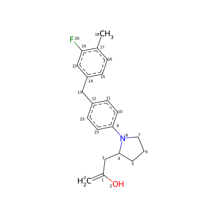 C=C(O)CC1CCCN1c1ccc(Cc2ccc(C)c(F)c2)cc1